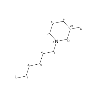 CCCCCCN1CCCC(C)C1